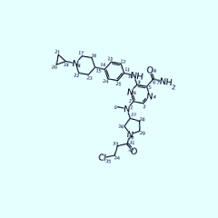 CN(c1cnc(C(N)=O)c(Nc2ccc(C3CCN(C4CC4)CC3)cc2)n1)C1CCN(C(=O)CCCl)C1